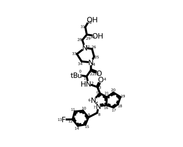 CC(C)(C)C(NC(=O)c1nn(Cc2ccc(F)cc2)c2ccccc12)C(=O)N1CCN(CC(O)CO)CC1